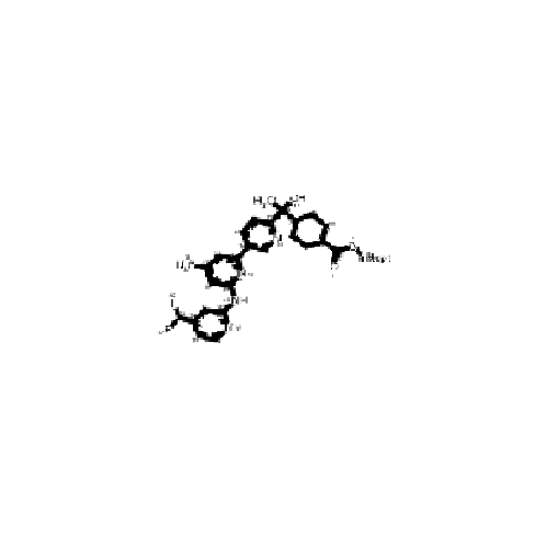 CCCCCCCOC(=O)C1CCC(C(C)(O)c2ccc(-c3cc(C)cc(Nc4cc(C(F)F)ccn4)n3)cn2)CC1